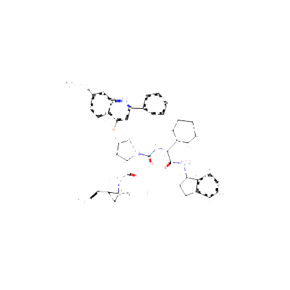 C=C[C@@H]1C[C@]1(NC(=O)[C@@H]1C[C@@H](Oc2cc(-c3ccccc3)nc3cc(OC)ccc23)CN1C(=O)N[C@H](C(=O)N(O)C1CCc2ccccc21)C1CCCCC1)C(=O)O